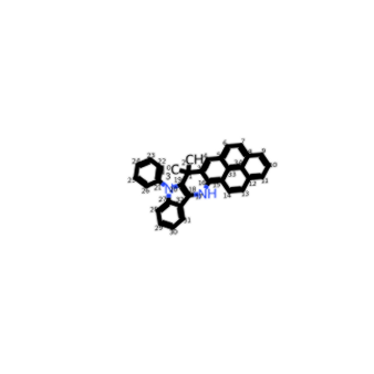 CC1(C)c2cc3ccc4cccc5ccc(c2Nc2c1n(-c1ccccc1)c1ccccc21)c3c45